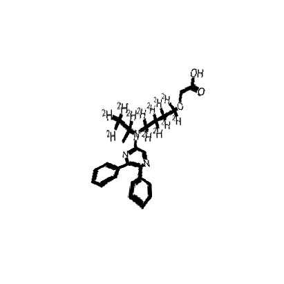 [2H]C([2H])([2H])C([2H])(C)N(c1cnc(-c2ccccc2)c(-c2ccccc2)n1)C([2H])([2H])C([2H])([2H])C([2H])([2H])C([2H])([2H])OCC(=O)O